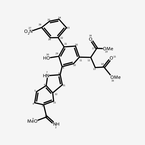 COC(=N)c1ccc2[nH]c(-c3cc(C(CC(=O)OC)C(=O)OC)cc(-c4cccc([N+](=O)[O-])c4)c3O)cc2c1